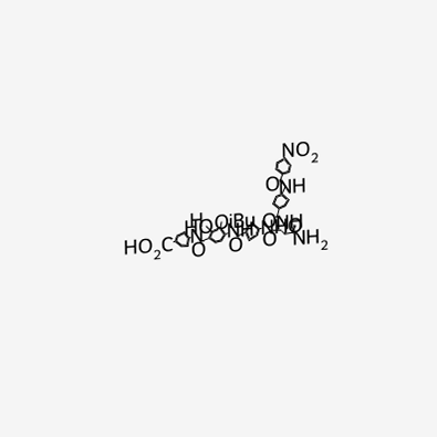 CC(C)COc1c(NC(=O)c2ccc(NC(=O)[C@H](CC(N)=O)NC(=O)c3ccc(NC(=O)c4ccc([N+](=O)[O-])cc4)cc3)cc2)ccc(C(=O)Nc2ccc(C(=O)O)cc2)c1O